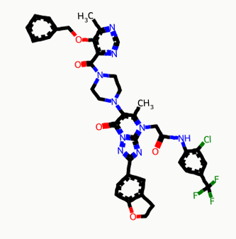 Cc1ncnc(C(=O)N2CCN(c3c(C)n(CC(=O)Nc4ccc(C(F)(F)F)cc4Cl)c4nc(-c5ccc6c(c5)CCO6)nn4c3=O)CC2)c1OCc1ccccc1